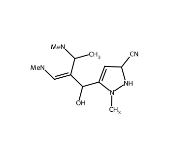 CN/C=C(\C(C)NC)C(O)C1=CC(C#N)NN1C